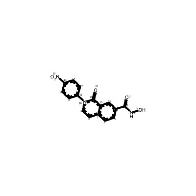 O=C(NO)c1ccc2ccn(-c3ccc([N+](=O)[O-])cc3)c(=O)c2c1